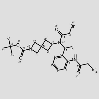 CC(c1ccccc1NC(=O)CBr)N(C(=O)CBr)C1CC2(C1)CN(C(=O)OC(C)(C)C)C2